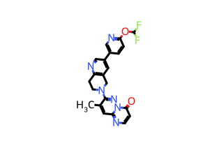 Cc1cc2nccc(=O)n2nc1N1CCc2ncc(-c3ccc(OC(F)F)nc3)cc2C1